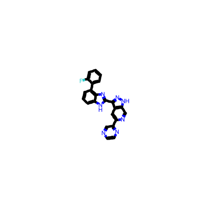 Fc1ccccc1-c1cccc2[nH]c(-c3n[nH]c4cnc(-c5cnccn5)cc34)nc12